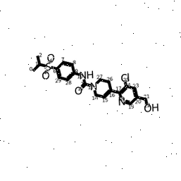 CC(C)S(=O)(=O)c1ccc(NC(=O)N2CC=C(c3ncc(CO)cc3Cl)CC2)cc1